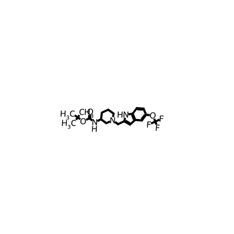 CC(C)(C)OC(=O)NC1CCCN(Cc2cc3cc(OC(F)(F)F)ccc3[nH]2)C1